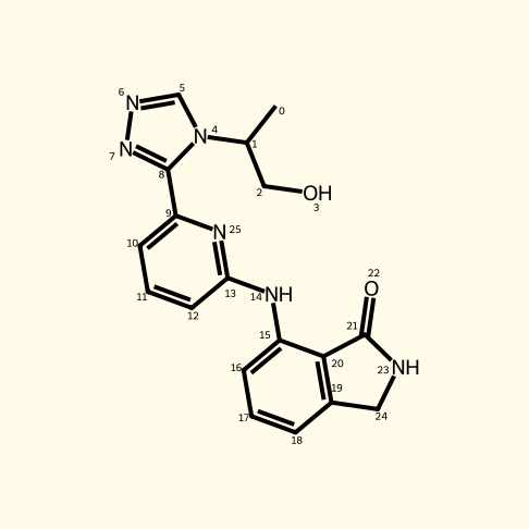 CC(CO)n1cnnc1-c1cccc(Nc2cccc3c2C(=O)NC3)n1